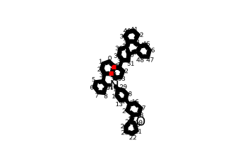 c1ccc(-c2ccccc2N(c2ccc(-c3ccc4oc5ccccc5c4c3)cc2)c2ccc(-c3ccc4c5ccccc5c5ccccc5c4c3)cc2)cc1